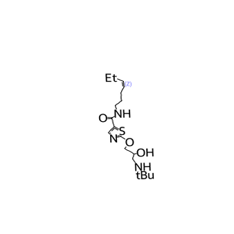 CC/C=C\CCCNC(=O)c1cnc(OCC(O)CNC(C)(C)C)s1